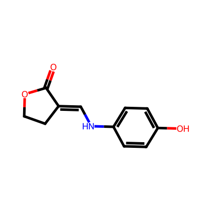 O=C1OCC/C1=C\Nc1ccc(O)cc1